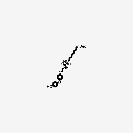 CCCCCCCCCCCCCCCCCCNNC(=O)NCCOc1ccc(Oc2ccc(O)cc2)cc1